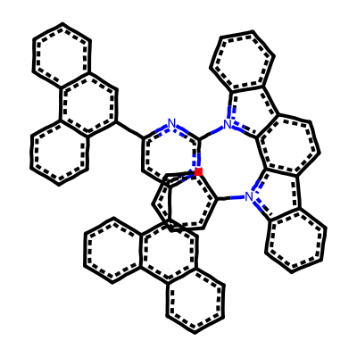 c1ccc(-n2c3ccccc3c3ccc4c5ccccc5n(-c5nc(-c6cc7ccccc7c7ccccc67)cc(-c6cc7ccccc7c7ccccc67)n5)c4c32)cc1